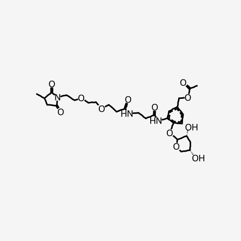 CC(=O)OCc1ccc(OC2OC[C@@H](O)C[C@H]2O)c(NC(=O)CCNC(=O)CCOCCOCCN2C(=O)CC(C)C2=O)c1